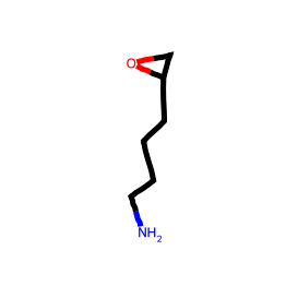 NCCCCC1CO1